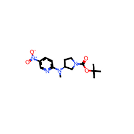 CN(c1ccc([N+](=O)[O-])cn1)[C@H]1CCN(C(=O)OC(C)(C)C)C1